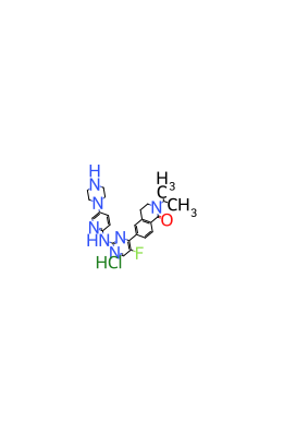 CC(C)N1CCc2cc(-c3nc(Nc4ccc(N5CCNCC5)cn4)ncc3F)ccc2C1=O.Cl